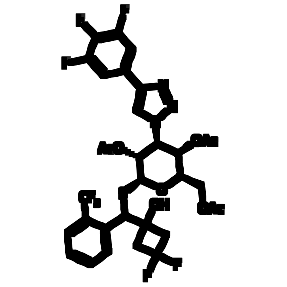 CC(=O)OC[C@H]1O[C@@H](SC(c2ccccc2C(F)(F)F)C2(O)CC(F)(F)C2)[C@H](OC(C)=O)[C@@H](n2cc(-c3cc(F)c(F)c(F)c3)nn2)[C@H]1OC(C)=O